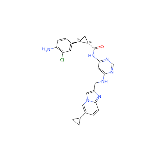 Nc1ccc([C@H]2C[C@@H]2C(=O)Nc2cc(NCc3cn4cc(C5CC5)ccc4n3)ncn2)cc1Cl